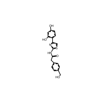 O=C(Cc1ccc(CO)cc1)Nc1nc(-c2ccc(O)cc2O)cs1